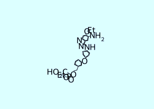 CCOc1cc2ncnc(Nc3ccc(Oc4cccc(CCOP(=O)(CC(=O)O)OCC)c4)cc3)c2cc1N